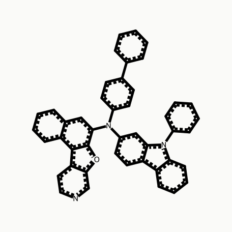 c1ccc(-c2ccc(N(c3ccc4c5ccccc5n(-c5ccccc5)c4c3)c3cc4ccccc4c4c3oc3cnccc34)cc2)cc1